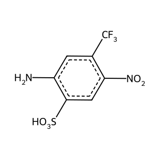 Nc1cc(C(F)(F)F)c([N+](=O)[O-])cc1S(=O)(=O)O